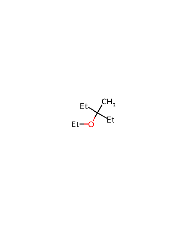 [CH2]CC(C)(CC)OCC